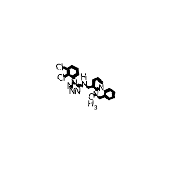 CN(Cc1ccccc1)c1ncccc1CNc1nnnn1-c1cccc(Cl)c1Cl